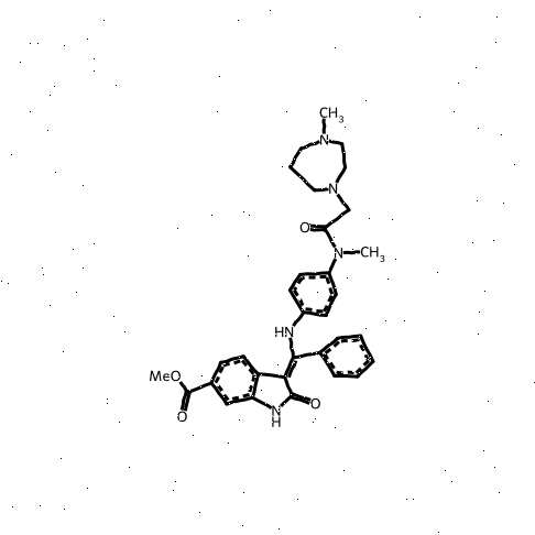 COC(=O)c1ccc2c(c1)NC(=O)C2=C(Nc1ccc(N(C)C(=O)CN2CCCN(C)CC2)cc1)c1ccccc1